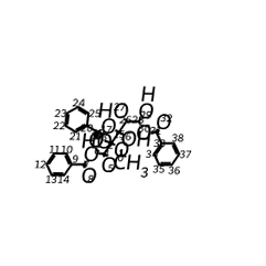 COC(O)(C(=O)OC(=O)c1ccccc1)C(O)(OC(=O)c1ccccc1)C(O)C(O)OC(=O)c1ccccc1